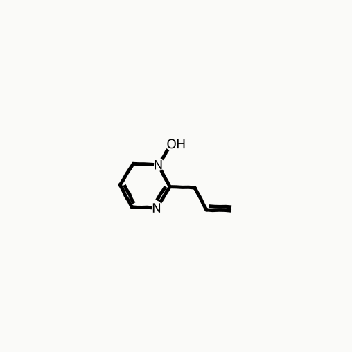 C=CCC1=NC=CCN1O